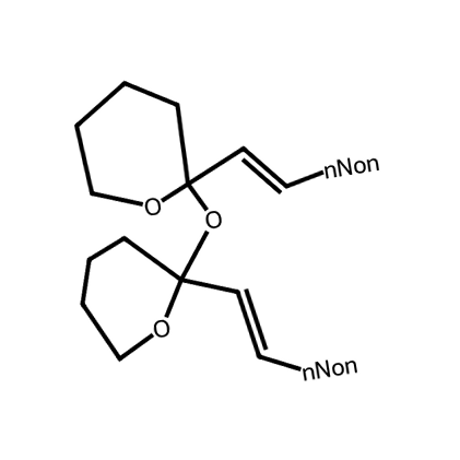 CCCCCCCCCC=CC1(OC2(C=CCCCCCCCCC)CCCCO2)CCCCO1